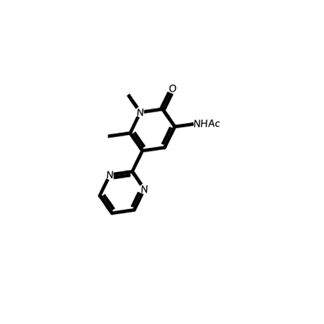 CC(=O)Nc1cc(-c2ncccn2)c(C)n(C)c1=O